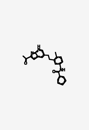 CC(=O)c1cc2cc(CCc3cc(NC(=O)c4ccccc4)ccc3C)c[nH]c-2n1